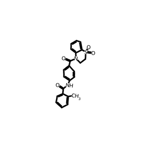 Cc1ccccc1C(=O)Nc1ccc(C(=O)N2CCS(=O)(=O)c3ccccc32)cc1